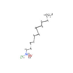 O=C(O)CCCCCCCCCCN(Cl)Br